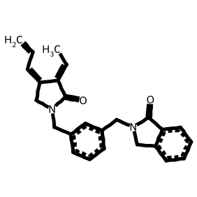 C=C/C=C1/CN(Cc2cccc(CN3Cc4ccccc4C3=O)c2)C(=O)/C1=C/C